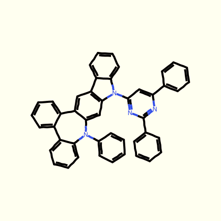 c1ccc(-c2cc(-n3c4ccccc4c4cc5c(cc43)N(c3ccccc3)c3ccccc3-c3ccccc3-5)nc(-c3ccccc3)n2)cc1